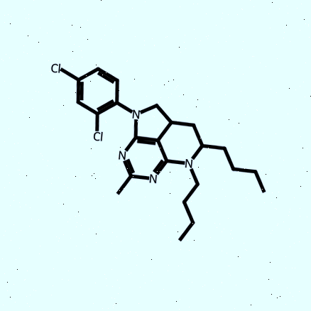 CCCCC1CC2CN(c3ccc(Cl)cc3Cl)c3nc(C)nc(c32)N1CCCC